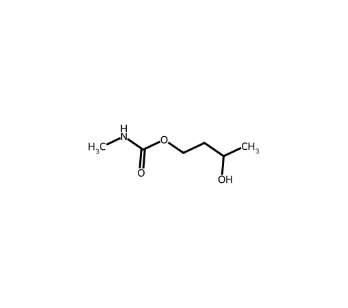 CNC(=O)OCCC(C)O